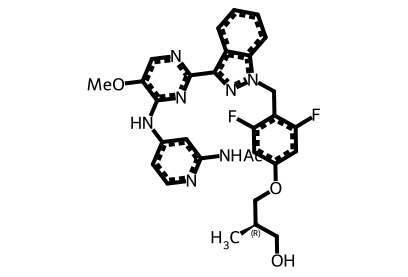 COc1cnc(-c2nn(Cc3c(F)cc(OC[C@H](C)CO)cc3F)c3ccccc23)nc1Nc1ccnc(NC(C)=O)c1